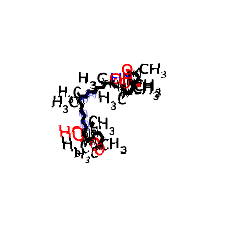 CC[C@H]1C[C@H](C)[C@@]2(NC1=O)O[C@@H](C[C@H](O)[C@@H](C)CC/C=C/C=C(\C)[C@@H](C)C/C=C/C=C/[C@H](O)[C@H](C)[C@H]1O[C@](C)(OC)CC[C@H]1CC)[C@H](C)C=C2C